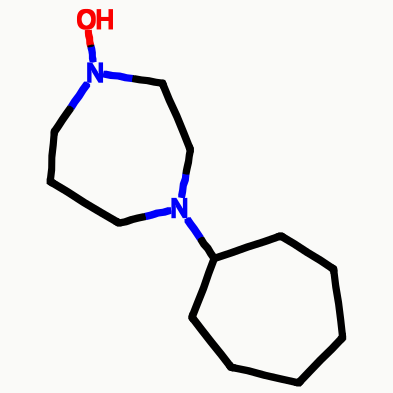 ON1CCCN(C2CCCCCC2)CC1